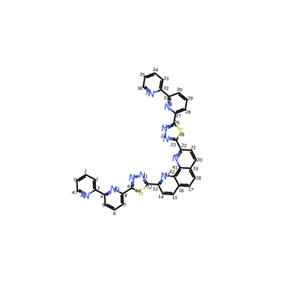 c1ccc(-c2cccc(-c3nnc(-c4ccc5ccc6ccc(-c7nnc(-c8cccc(-c9ccccn9)n8)s7)nc6c5n4)s3)n2)nc1